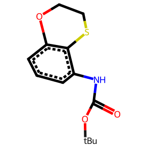 CC(C)(C)OC(=O)Nc1cccc2c1SCCO2